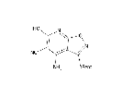 CCCCCc1noc2nc(O)c(C#N)c(N)c12